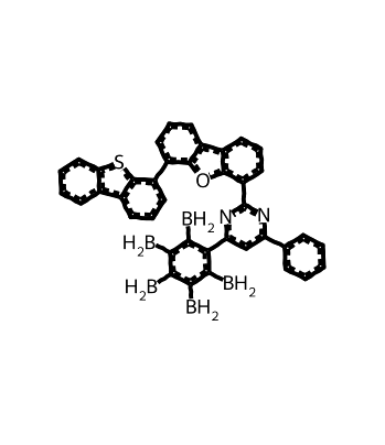 Bc1c(B)c(B)c(-c2cc(-c3ccccc3)nc(-c3cccc4c3oc3c(-c5cccc6c5sc5ccccc56)cccc34)n2)c(B)c1B